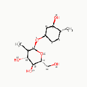 CC1[C@@H](OC2CC[C@@H](C)[C@H](O)C2)O[C@H](CO)[C@@H](O)[C@@H]1O